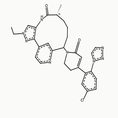 CCn1cc2c(n1)-c1ccnc(c1)C(N1CCC(c3cc(Cl)ccc3-n3ccnn3)=CC1=O)CCC[C@@H](C)C(=O)N2